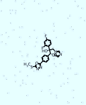 CSc1nnc(-c2ccc([C@@H](C)[C@@](O)(Cn3cncn3)c3ccc(F)cc3F)cc2)o1